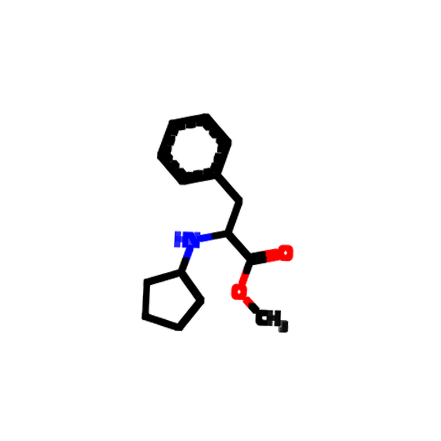 COC(=O)C(Cc1ccccc1)NC1CCCC1